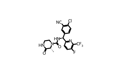 C[C@@H]1C(=O)NCCN1C(=O)N[C@@H](c1ccc(Cl)c(C#N)c1)c1ccc(F)c(C(F)(F)F)n1